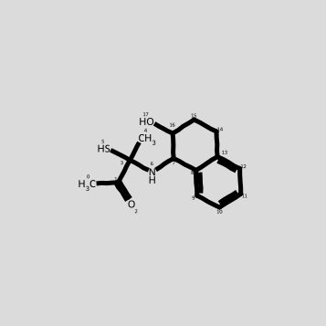 CC(=O)C(C)(S)NC1c2ccccc2CCC1O